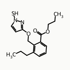 CCCOC(=O)c1cccc(CCC)c1COc1ccn(S)n1